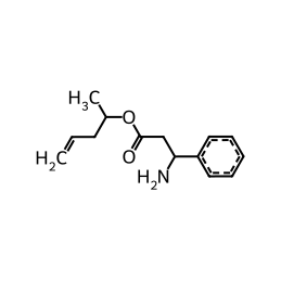 C=CCC(C)OC(=O)CC(N)c1ccccc1